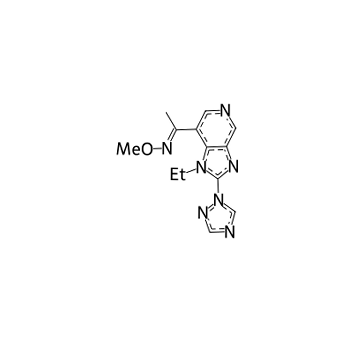 CCn1c(-n2cncn2)nc2cncc(C(C)=NOC)c21